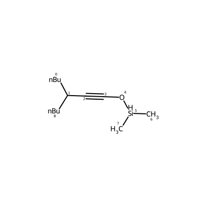 CCCCC(C#CO[SiH](C)C)CCCC